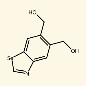 OCc1cc2nc[se]c2cc1CO